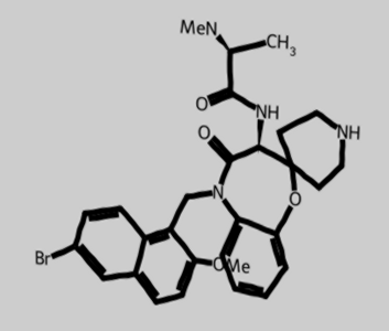 CN[C@@H](C)C(=O)N[C@@H]1C(=O)N(Cc2c(OC)ccc3cc(Br)ccc23)c2ccccc2OC12CCNCC2